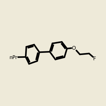 CCCc1ccc(-c2ccc(OCCF)cc2)cc1